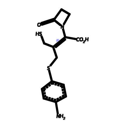 Nc1ccc(SC/C(CS)=C(\C(=O)O)N2CCC2=O)cc1